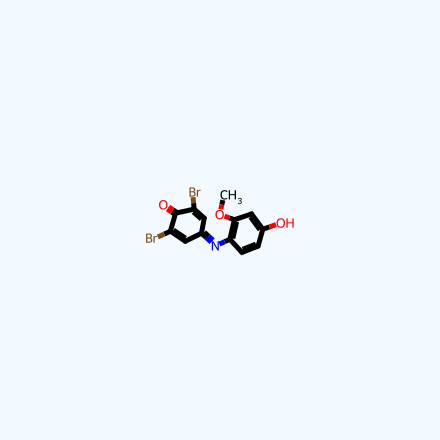 COc1cc(O)ccc1N=C1C=C(Br)C(=O)C(Br)=C1